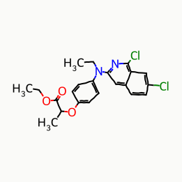 CCOC(=O)C(C)Oc1ccc(N(CC)c2cc3ccc(Cl)cc3c(Cl)n2)cc1